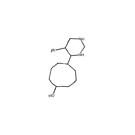 CC(C)C1CNCNC1C1CCCC(O)CCC1